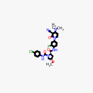 CO[C@@H]1C[C@H](C(=O)Nc2ccc(-n3ccc(N(C)C)c(C#N)c3=O)cc2F)N(C(=O)Nc2ccc(Cl)cc2)C1